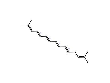 CC(C)=C/C=C/C=C/C=C/C=C/CC=C(C)C